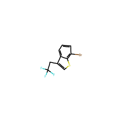 FC(F)(F)Cc1csc2c(Br)cccc12